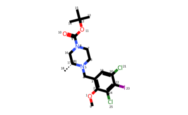 COc1c(CN2CCN(C(=O)OC(C)(C)C)C[C@H]2C)cc(Cl)c(I)c1Cl